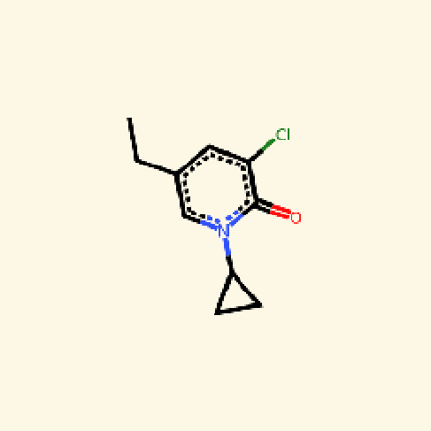 CCc1cc(Cl)c(=O)n(C2CC2)c1